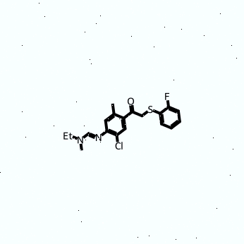 CCN(C)C=Nc1cc(C)c(C(=O)CSc2ccccc2F)cc1Cl